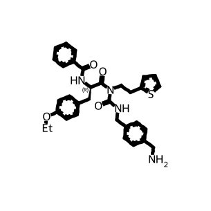 CCOc1ccc(C[C@@H](NC(=O)c2ccccc2)C(=O)N(CCc2cccs2)C(=O)NCc2ccc(CN)cc2)cc1